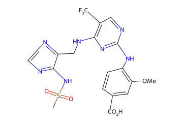 COc1cc(C(=O)O)ccc1Nc1ncc(C(F)(F)F)c(NCc2nccnc2NS(C)(=O)=O)n1